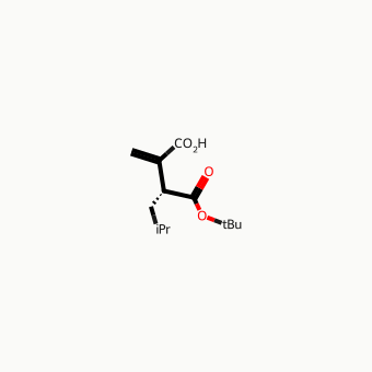 C=C(C(=O)O)[C@@H](CC(C)C)C(=O)OC(C)(C)C